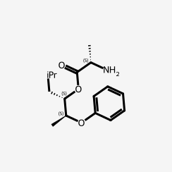 CC(C)C[C@H](OC(=O)[C@H](C)N)[C@H](C)Oc1ccccc1